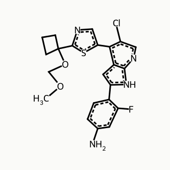 COCOC1(c2ncc(-c3c(Cl)cnc4[nH]c(-c5ccc(N)cc5F)cc34)s2)CCC1